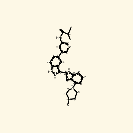 C=C(Nc1cncc(-c2ccc3[nH]nc(-c4cc5c(N6CCN(C)CC6)cccc5[nH]4)c3c2)c1)C(C)C